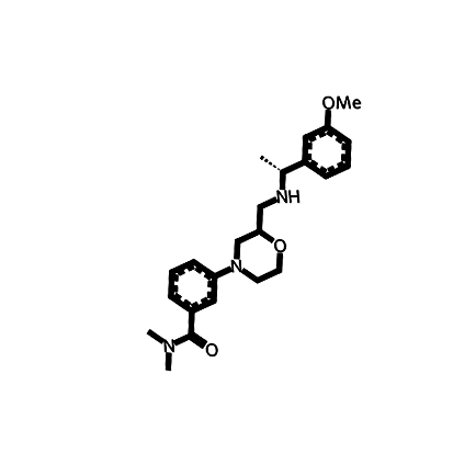 COc1cccc([C@@H](C)NCC2CN(c3cccc(C(=O)N(C)C)c3)CCO2)c1